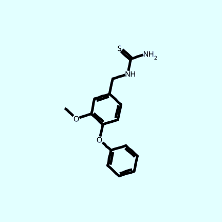 COc1cc(CNC(N)=S)ccc1Oc1ccccc1